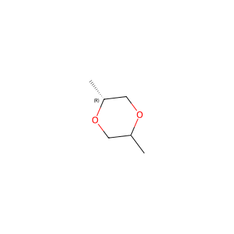 CC1CO[C@H](C)CO1